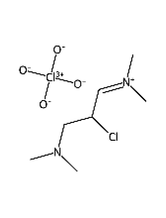 CN(C)CC(Cl)C=[N+](C)C.[O-][Cl+3]([O-])([O-])[O-]